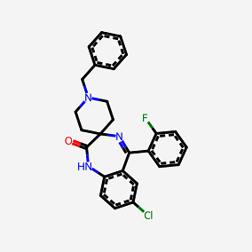 O=C1Nc2ccc(Cl)cc2C(c2ccccc2F)=NC12CCN(Cc1ccccc1)CC2